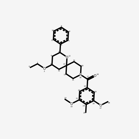 CCOC1CC(c2ccccc2)OC2(CCN(C(=O)c3cc(OC)c(C)c(OC)c3)CC2)C1